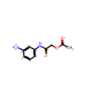 CC(=O)OCC(=S)Nc1cccc(N)c1